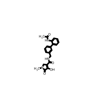 CC(=O)Nc1ccccc1-c1cccc(CNC(=O)C2=C(O)C(=O)N(C)C2)c1